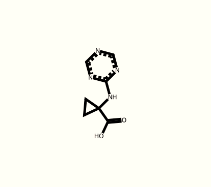 O=C(O)C1(Nc2ncncn2)CC1